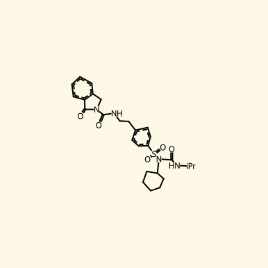 CC(C)NC(=O)N(C1CCCCC1)S(=O)(=O)c1ccc(CCNC(=O)N2Cc3ccccc3C2=O)cc1